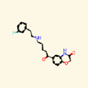 O=C1COc2ccc(C(=O)CCCCNCCc3cccc(F)c3)cc2N1